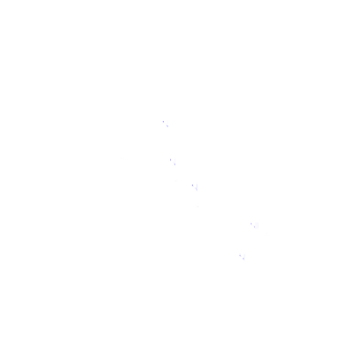 Cc1cccc(C)c1C1CN(c2cccc(C(=O)c3cccnc3N)n2)CCN1